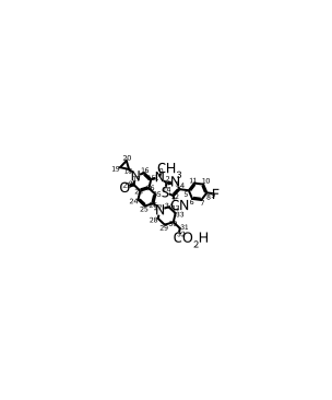 CN(c1nc(-c2ccc(F)cc2)c(C#N)s1)c1cn(C2CC2)c(=O)c2ccc(N3CCC(CC(=O)O)CC3)cc12